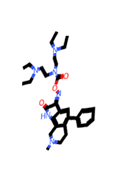 CCN(CC)CCN(CCN(CC)CC)C(=O)ON=C1C(=O)Nc2c1cc(-c1ccccc1)c1c2CN(C)CC1